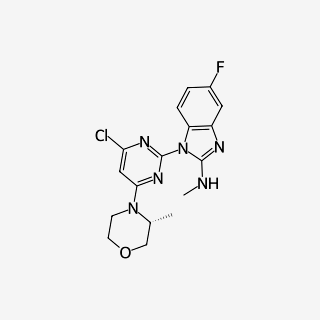 CNc1nc2cc(F)ccc2n1-c1nc(Cl)cc(N2CCOC[C@H]2C)n1